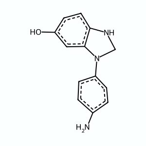 Nc1ccc(N2CNc3ccc(O)cc32)cc1